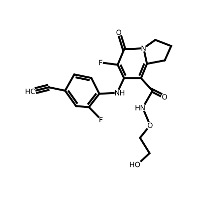 C#Cc1ccc(Nc2c(C(=O)NOCCO)c3n(c(=O)c2F)CCC3)c(F)c1